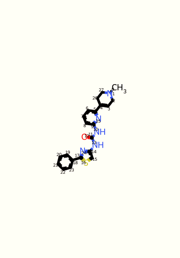 CN1CC=C(c2cccc(NC(=O)Nc3csc(-c4ccccc4)n3)n2)CC1